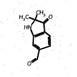 CC1(C)Nc2cc(C=O)ccc2C1=O